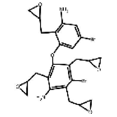 Nc1cc(Br)cc(Oc2c(CC3CO3)c(N)c(CC3CO3)c(Br)c2CC2CO2)c1CC1CO1